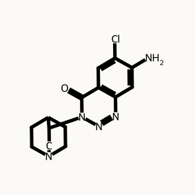 Nc1cc2nnn(C3CN4CCC3CC4)c(=O)c2cc1Cl